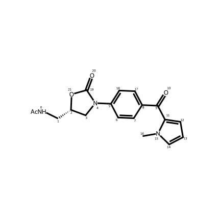 CC(=O)NC[C@H]1CN(c2ccc(C(=O)c3cccn3C)cc2)C(=O)O1